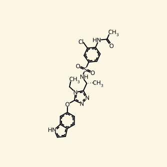 CCn1c(Oc2ccc3cc[nH]c3c2)nnc1[C@@H](C)NS(=O)(=O)c1ccc(NC(C)=O)c(Cl)c1